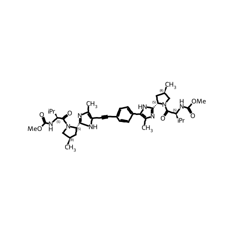 COC(=O)N[C@H](C(=O)N1C[C@H](C)C[C@H]1c1nc(C)c(C#Cc2ccc(-c3[nH]c([C@@H]4C[C@@H](C)CN4C(=O)[C@@H](NC(=O)OC)C(C)C)nc3C)cc2)[nH]1)C(C)C